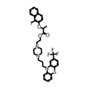 CC(Oc1ccc2ccccc2c1I)C(=O)OCCN1CCN(CCCN2c3ccccc3Sc3ccc(C(F)(F)F)cc32)CC1